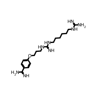 N=C(N)NCCCCCCNC(=N)NCCCOc1ccc(C(=N)N)cc1